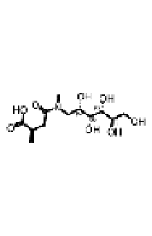 C=C(CC(=O)N(C)C[C@H](O)[C@@H](O)[C@H](O)[C@H](O)CO)C(=O)O